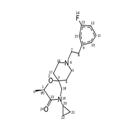 C[C@H]1OC2(CCN(CCc3cccc(F)c3)CC2)CN(C2CC2)C1=O